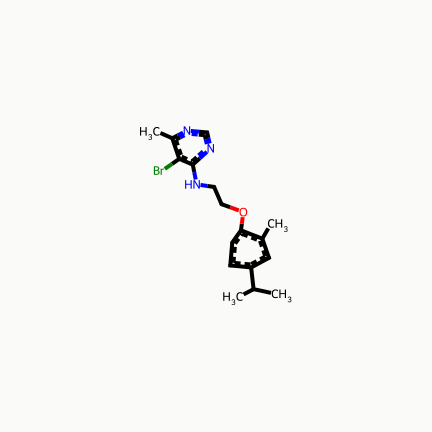 Cc1cc(C(C)C)ccc1OCCNc1ncnc(C)c1Br